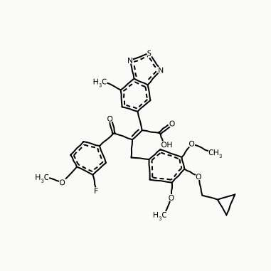 COc1ccc(C(=O)/C(Cc2cc(OC)c(OCC3CC3)c(OC)c2)=C(/C(=O)O)c2cc(C)c3nsnc3c2)cc1F